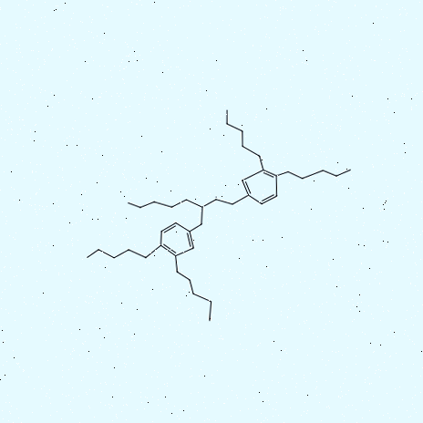 CCCCCc1ccc(C[CH]C(CCCCC)Cc2ccc(CCCCC)c(CCCCC)c2)cc1CCCCC